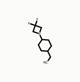 N#CCC1CCC(N2CC(F)(F)C2)CC1